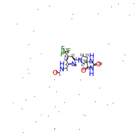 O=CNCc1cc(C(F)(F)F)cc(N2CCC3(C2)NC(=O)NC3=O)n1